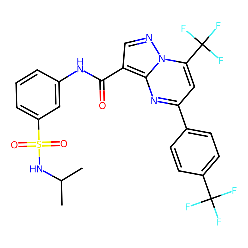 CC(C)NS(=O)(=O)c1cccc(NC(=O)c2cnn3c(C(F)(F)F)cc(-c4ccc(C(F)(F)F)cc4)nc23)c1